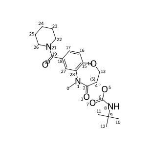 CN1C(=O)[C@@H](OC(=O)NC(C)(C)C)COc2ccc(C(=O)N3CCCCC3)cc21